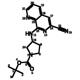 CC(C)(C)OC(=O)N1CCC(Nc2nc(C#N)cc3cccnc23)C1